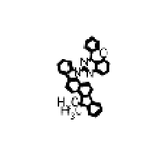 CC1(C)c2ccccc2-c2ccc3c(ccc4c5ccccc5n(-c5nc6c7c(cccc7n5)Oc5ccccc5-6)c34)c21